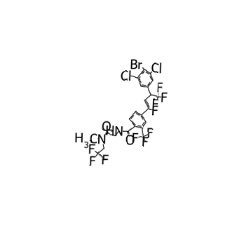 CN(CC(F)(F)F)C(=O)CNC(=O)c1ccc(/C(F)=C/C(c2cc(Cl)c(Br)c(Cl)c2)C(F)(F)F)cc1C(F)(F)F